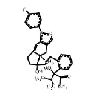 CC(C)C(O)(C(N)=O)c1ccccc1CC[C@]1(O)CCC2=Cc3c(cnn3-c3ccc(F)cc3)C[C@@]21C